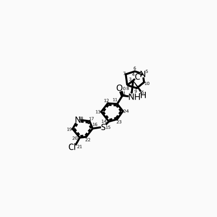 O=C(N[C@H]1CN2CCC1CC2)c1ccc(Sc2cncc(Cl)c2)cc1